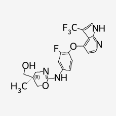 C[C@]1(CO)CN=C(Nc2ccc(Oc3ccnc4[nH]cc(C(F)(F)F)c34)c(F)c2)OC1